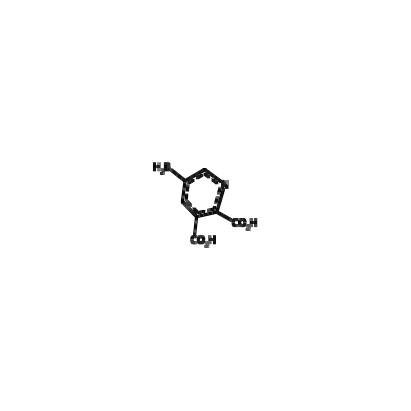 Bc1cnc(C(=O)O)c(C(=O)O)c1